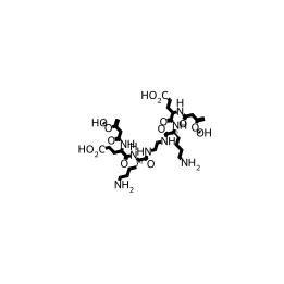 C=C(CC(=O)NC(CCC(=O)O)C(=O)N[C@@H](CCCCN)C(=O)NCCNC(=O)[C@H](CCCCN)NC(=O)C(CCC(=O)O)NC(=O)CC(=C)OO)OO